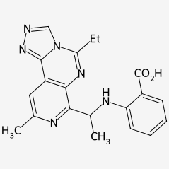 CCc1nc2c(C(C)Nc3ccccc3C(=O)O)nc(C)cc2c2nncn12